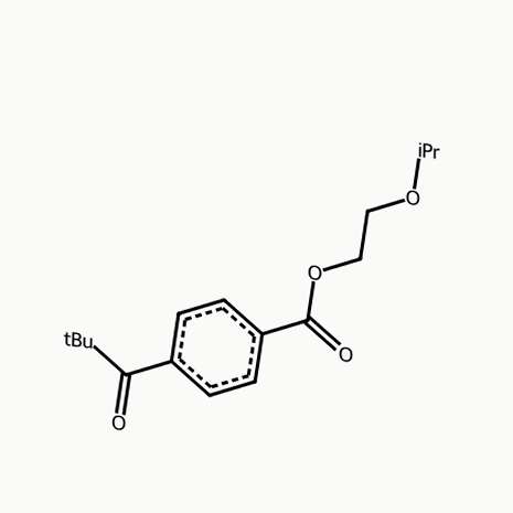 CC(C)OCCOC(=O)c1ccc(C(=O)C(C)(C)C)cc1